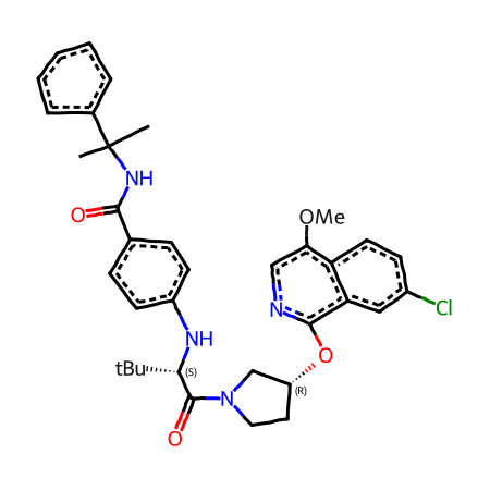 COc1cnc(O[C@@H]2CCN(C(=O)[C@@H](Nc3ccc(C(=O)NC(C)(C)c4ccccc4)cc3)C(C)(C)C)C2)c2cc(Cl)ccc12